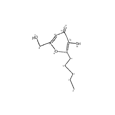 CCCCCc1oc(CO)cc(=O)c1O